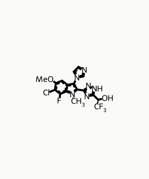 COc1cc2c(-n3ccnc3)c(-c3n[nH]c([C@@H](O)C(F)(F)F)n3)n(C)c2c(F)c1Cl